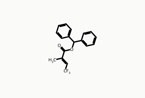 CC(=CC(F)(F)F)C(=O)OC(c1ccccc1)c1ccccc1